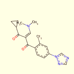 CN(C)C=C(C(=O)c1ccc(-n2cncn2)cc1C(F)(F)F)C(=O)C1CC1